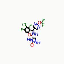 O=C1NC[C@@H](C(=O)N[C@H](c2cnc(OC(F)F)nc2)c2ccc(F)c(Cl)c2F)N1